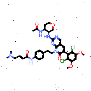 COc1cc(OC)c(Cl)c(-c2cc3cnc(NC4COCCC4NC(C)=O)nc3n(CCc3ccc(NC(=O)/C=C/CN(C)C)cc3)c2=O)c1Cl